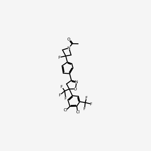 CC(=O)N1CC(F)(c2ccc(C3=NOC(c4cc(Cl)c(Cl)c(C(F)(F)F)c4)(C(F)(F)F)C3)cc2)C1